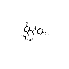 CCCCCCCC(=O)Oc1ccc(Cl)cc1C(=O)Nc1cnc(C(F)(F)F)nc1